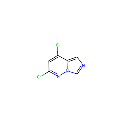 Clc1cc(Cl)c2cncn2n1